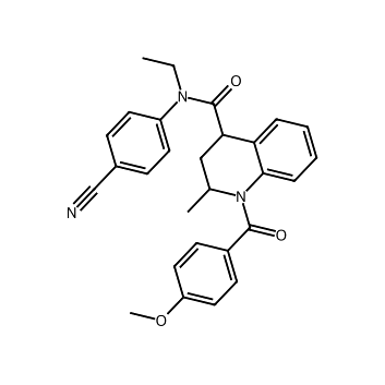 CCN(C(=O)C1CC(C)N(C(=O)c2ccc(OC)cc2)c2ccccc21)c1ccc(C#N)cc1